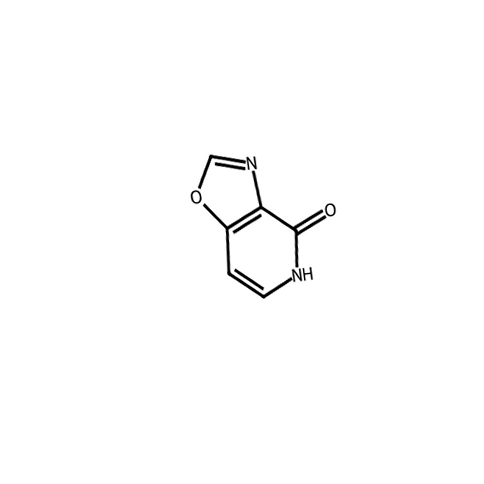 O=c1[nH]ccc2ocnc12